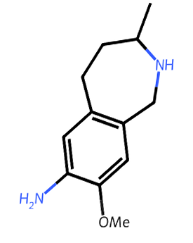 COc1cc2c(cc1N)CCC(C)NC2